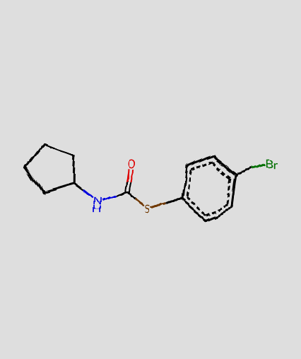 O=C(NC1CCCC1)Sc1ccc(Br)cc1